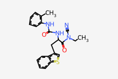 CCN(C#N)C(=O)C(Cc1csc2ccccc12)NC(=O)Nc1ccccc1C